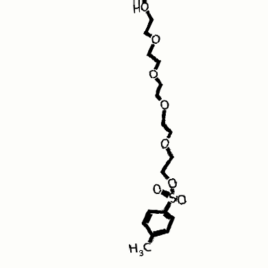 Cc1ccc(S(=O)(=O)OCCOCCOCCOCCOCCO)cc1